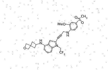 COc1cc(S(C)(=O)=O)ccc1NCC#Cc1cc2c(NC3CC4(COC4)C3)cccc2n1CC(F)(F)F